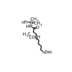 CC(=O)O.CCCCCCCCCCCCCCCCCC(=O)N[N+](C)(C)CCC